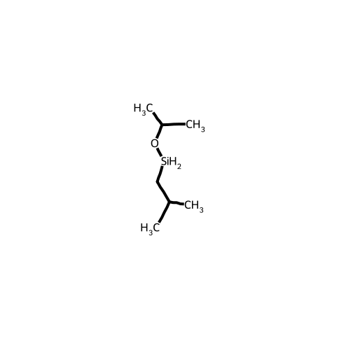 CC(C)C[SiH2]OC(C)C